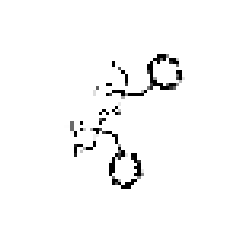 CC(CF)(Cc1ccccc1)SSC(C)(CF)Cc1ccccc1